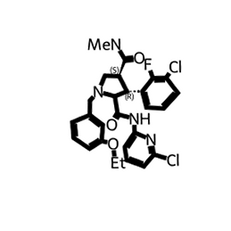 CCOc1cccc(CN2C[C@@H](C(=O)NC)[C@H](c3cccc(Cl)c3F)C2C(=O)Nc2cccc(Cl)n2)c1